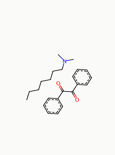 CCCCCCCN(C)C.O=C(C(=O)c1ccccc1)c1ccccc1